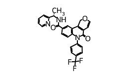 C[C@H](NC(=O)c1ccc2c(c1)c1c(c(=O)n2-c2ccc(C(F)(F)F)cc2)C=COC1)c1ccccn1